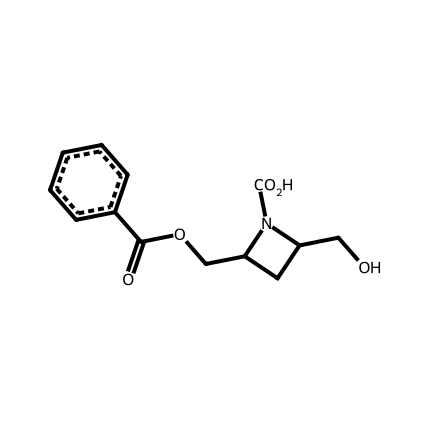 O=C(OCC1CC(CO)N1C(=O)O)c1ccccc1